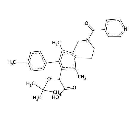 Cc1ccc(-c2c(C)c3c(c(C)c2C(OC(C)(C)C)C(=O)O)CCN(C(=O)c2ccncc2)C3)cc1